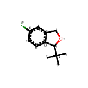 CC(C)(C)C1OCc2cc(F)ccc21